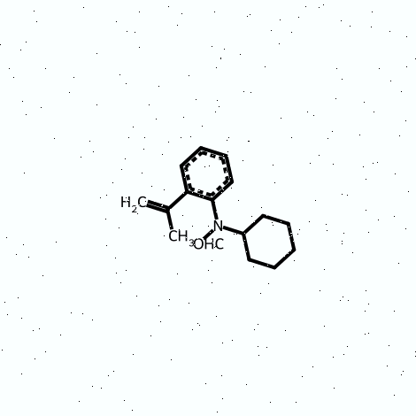 C=C(C)c1ccccc1N(C=O)C1CCCCC1